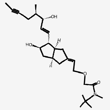 CC#CC[C@@H](C)[C@H](O)/C=C/[C@@H]1[C@H]2C/C(=C/COCC(=O)N(C)C(C)(C)C)C[C@H]2C[C@H]1O